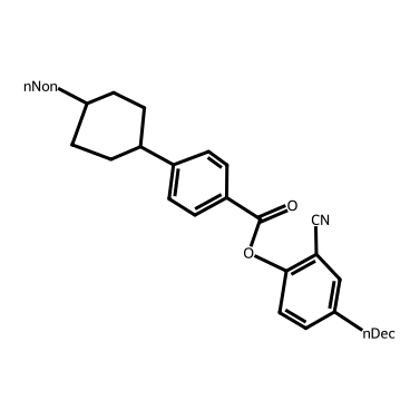 CCCCCCCCCCc1ccc(OC(=O)c2ccc(C3CCC(CCCCCCCCC)CC3)cc2)c(C#N)c1